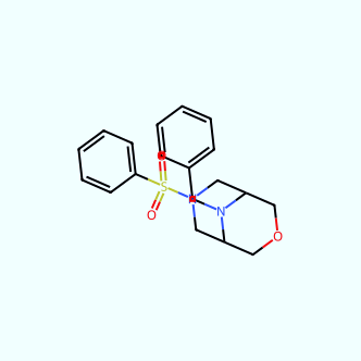 O=S(=O)(c1ccccc1)N1CC2COCC(C1)N2Cc1ccccc1